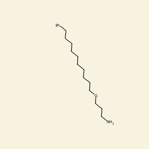 CC(C)CCCCCCCCCCOCCCN